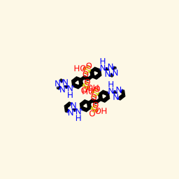 O=S(=O)(O)c1cc(Nc2ncccn2)ccc1C=Cc1ccc(Nc2ncccn2)cc1S(=O)(=O)O.O=S(=O)(O)c1cc(Nc2ncncn2)ccc1C=Cc1ccc(Nc2ncncn2)cc1S(=O)(=O)O